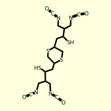 O=C=NCC(CN=C=O)C(S)CC1CSC(CC(S)C(CN=C=O)CN=C=O)CS1